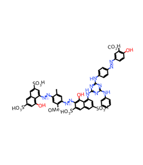 COc1cc(/N=N/c2cc(S(=O)(=O)O)cc3cc(S(=O)(=O)O)cc(O)c23)c(C)cc1/N=N/c1c(S(=O)(=O)O)cc2cc(S(=O)(=O)O)cc(Nc3nc(Nc4ccccc4)nc(Nc4ccc(/N=N/c5ccc(O)c(C(=O)O)c5)cc4)n3)c2c1O